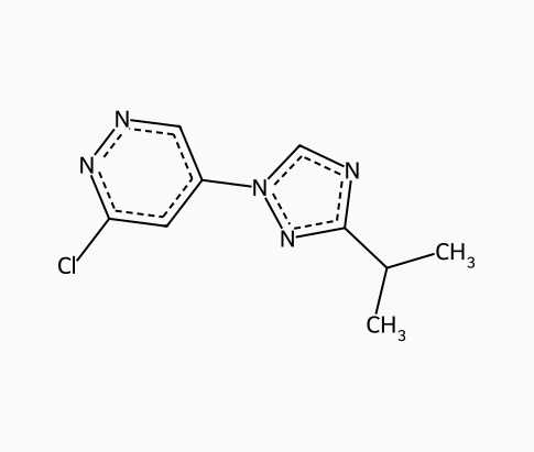 CC(C)c1ncn(-c2cnnc(Cl)c2)n1